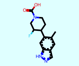 Cc1cc2cn[nH]c2cc1C1CCN(C(=O)O)CC1F